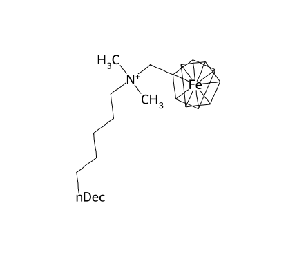 CCCCCCCCCCCCCCC[N+](C)(C)C[C]12[CH]3[CH]4[CH]5[CH]1[Fe]45321678[CH]2[CH]1[CH]6[CH]7[CH]28